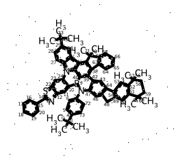 CC(C)(C)c1ccc(N2B3c4cc5nc(-c6ccccc6)sc5cc4-n4c5ccc(C(C)(C)C)cc5c5c6c(c(c3c54)-c3cc4c(cc32)Cc2cc3c(cc2-4)C(C)(C)CCC3(C)C)-c2ccccc2C6(C)C)cc1